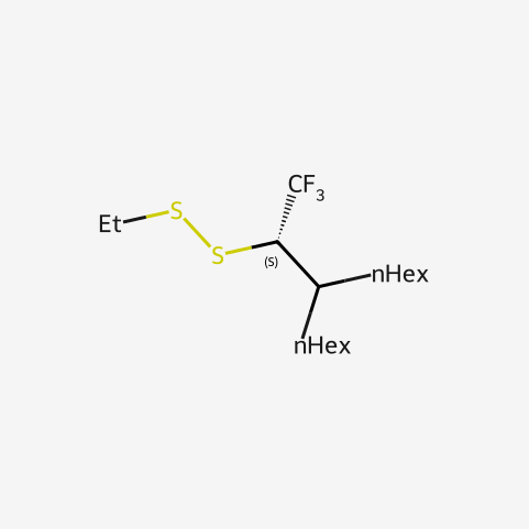 CCCCCCC(CCCCCC)[C@H](SSCC)C(F)(F)F